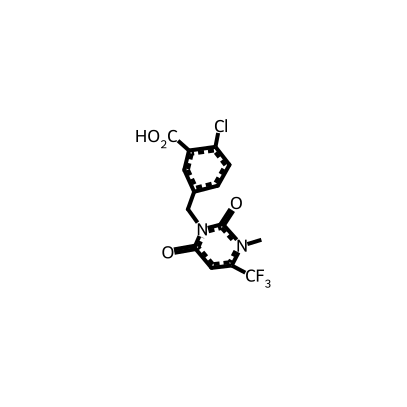 Cn1c(C(F)(F)F)cc(=O)n(Cc2ccc(Cl)c(C(=O)O)c2)c1=O